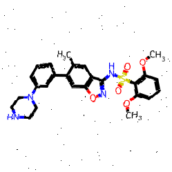 COc1cccc(OC)c1S(=O)(=O)Nc1noc2cc(-c3cccc(N4CCNCC4)c3)c(C)cc12